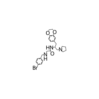 O=C(CNCc1ccc(Br)cc1)NC(Cc1ccc2c(c1)OCCO2)CN1CCCC1